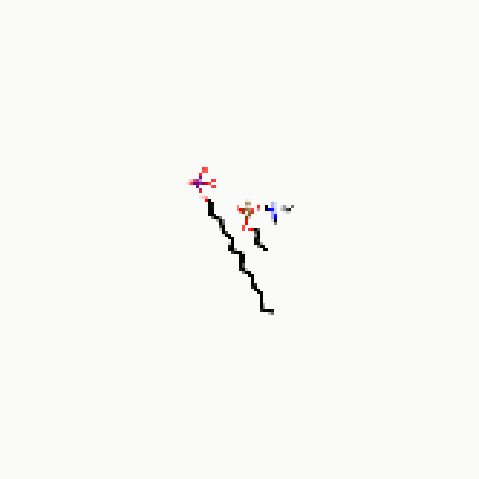 CCCCCCCCCCCCCOP(=O)([O-])O.CCCO[SH](=O)=O.CNC.[Na+]